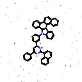 C1=Cc2c(ccc3c4ccccc4c4c(c5ccccc5n4-c4cccc(C5C=C(c6ccccc6)NC(c6cccc7ccccc67)N5)c4)c23)CC1